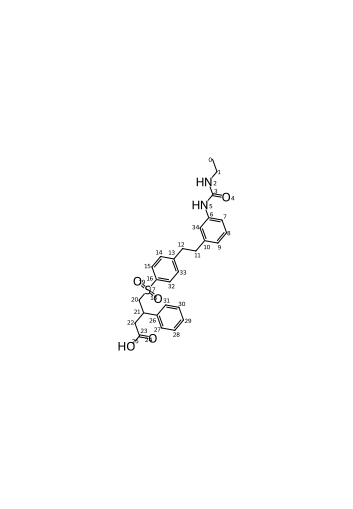 CCNC(=O)Nc1cccc(CCc2ccc(S(=O)(=O)CC(CC(=O)O)c3ccccc3)cc2)c1